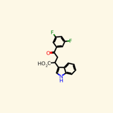 O=C(CC(C(=O)O)c1c[nH]c2ccccc12)c1cc(F)cc(F)c1